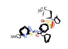 COc1ccc2nc(NC(=O)[C@H](CC3CCCC3)c3ccc(S(=O)(=O)N(CCC(=O)O)C4CCCCC4)cc3)sc2n1